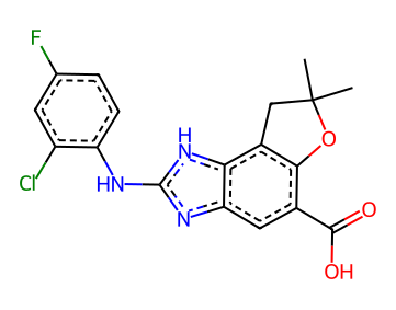 CC1(C)Cc2c(c(C(=O)O)cc3nc(Nc4ccc(F)cc4Cl)[nH]c23)O1